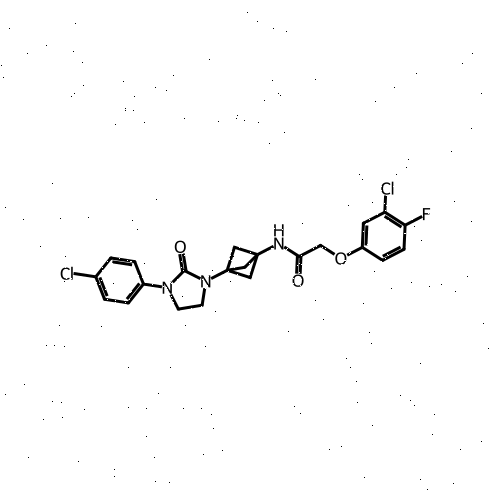 O=C(COc1ccc(F)c(Cl)c1)NC12CC(N3CCN(c4ccc(Cl)cc4)C3=O)(C1)C2